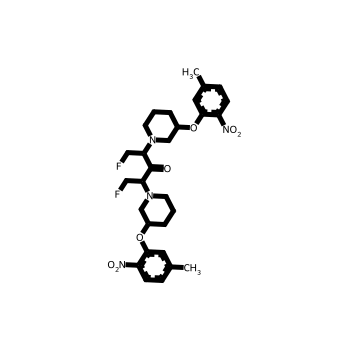 Cc1ccc([N+](=O)[O-])c(OC2CCCN(C(CF)C(=O)C(CF)N3CCCC(Oc4cc(C)ccc4[N+](=O)[O-])C3)C2)c1